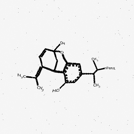 CCCCCC(C)C(C)c1cc(O)c2c(c1)OC1(O)C=CC(=C(C)C)C2C1